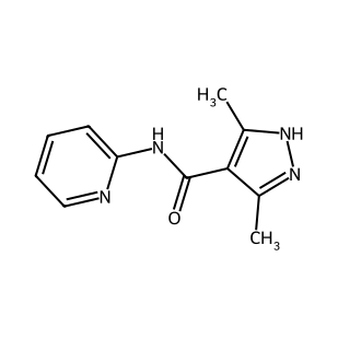 Cc1n[nH]c(C)c1C(=O)Nc1ccccn1